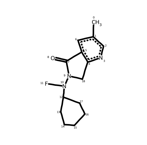 Cc1cnc2c(c1)C(=O)N(N(F)C1CCCCC1)C2